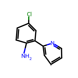 Nc1ccc(Cl)cc1-c1c[c]ccn1